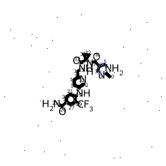 C=C/N=C\C(=C/N)C(=O)NC1(C(=O)NCc2ccc(Nc3ccc(C(N)=O)cc3C(F)(F)F)cn2)CC1